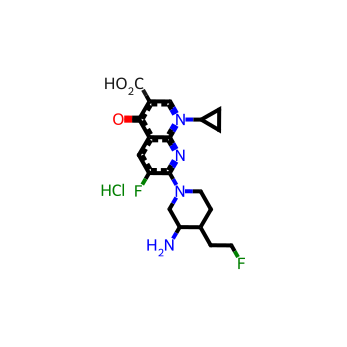 Cl.NC1CN(c2nc3c(cc2F)c(=O)c(C(=O)O)cn3C2CC2)CCC1CCF